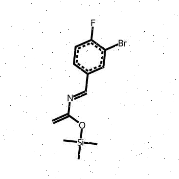 C=C(/N=C/c1ccc(F)c(Br)c1)O[Si](C)(C)C